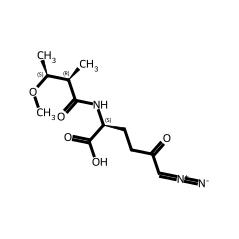 CO[C@@H](C)[C@@H](C)C(=O)N[C@@H](CCC(=O)C=[N+]=[N-])C(=O)O